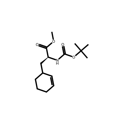 COC(=O)[C@H](CC1C=CCCC1)NC(=O)OC(C)(C)C